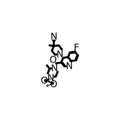 CC1CN(S(C)(=O)=O)CCN1C(=O)C1=CN=C2C=CC(F)=CC2C1N1CCC(C)(C#N)CC1